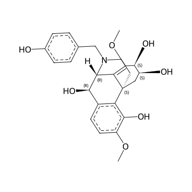 COC1=C2[C@@H]3[C@H](O)c4ccc(OC)c(O)c4[C@]2(CCN3Cc2ccc(O)cc2)C[C@H](O)[C@@H]1O